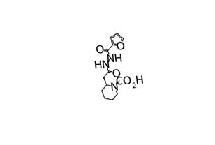 O=C(C[C@@H]1CCCCN1C(=O)O)NNC(=O)c1ccco1